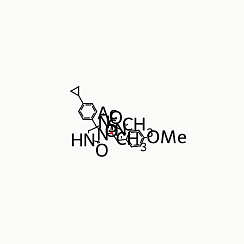 COc1ccc(CCN2C(=O)NCC2(c2ccc(C3CC3)cc2)N(C(C)=O)S(=O)(=O)N(C)C)cc1